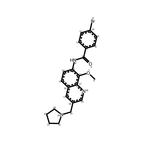 COc1c(NC(=O)c2ccc(Br)cc2)ccc2cc(CN3CCCC3)cnc12